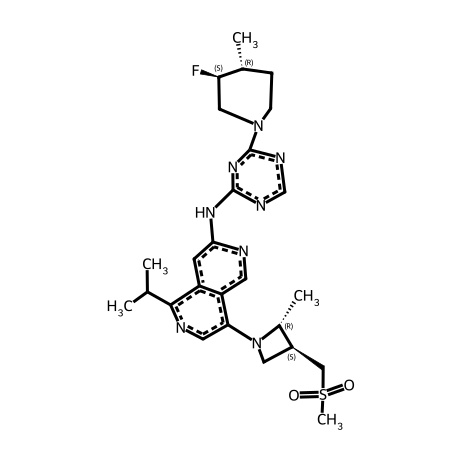 CC(C)c1ncc(N2C[C@H](CS(C)(=O)=O)[C@H]2C)c2cnc(Nc3ncnc(N4CC[C@@H](C)[C@H](F)C4)n3)cc12